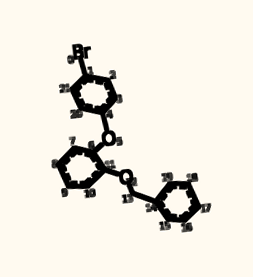 Brc1ccc(Oc2ccccc2OCc2ccccc2)cc1